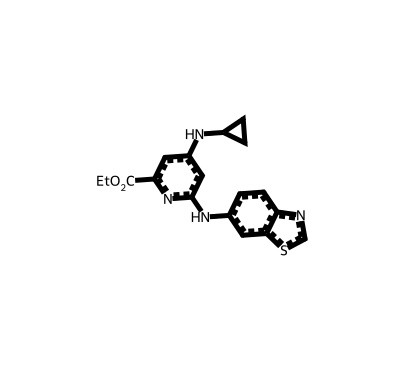 CCOC(=O)c1cc(NC2CC2)cc(Nc2ccc3ncsc3c2)n1